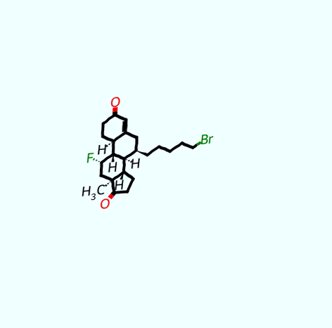 C[C@]12C[C@H](F)[C@H]3[C@@H]([C@H](CCCCCBr)CC4=CC(=O)CC[C@@H]43)[C@@H]1CCC2=O